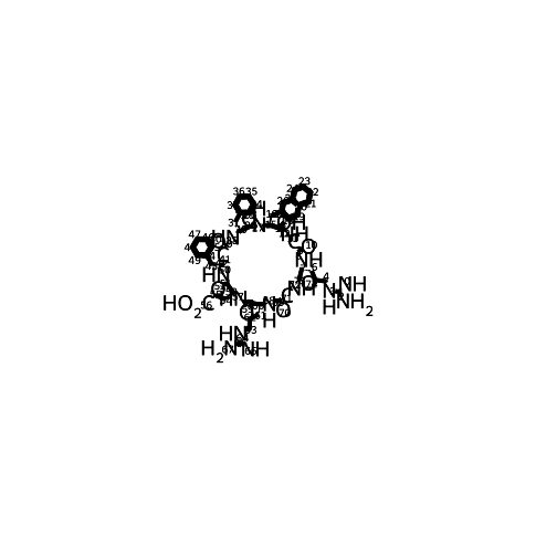 N=C(N)NCCC[C@H]1NC(=O)CNC(O)[C@H](Cc2ccc3ccccc3c2)NC(=O)[C@@H](Cc2ccccc2)NC(=O)C[C@H](Cc2ccccc2)NC(=O)[C@H](CCC(=O)O)NC(=O)[C@@H](CCCNC(=N)N)NC(=O)CNC1=O